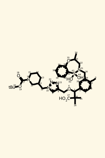 Cc1ccc(C(OCc2cn(CC3CCCN(C(=O)OC(C)(C)C)C3)nn2)C(C)(C)C(=O)O)cc1CN1CC(C)Oc2ccccc2S1(O)O